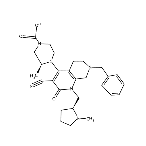 C[C@H]1CN(C(=O)O)CCN1c1c2c(n(C[C@@H]3CCCN3C)c(=O)c1C#N)CN(Cc1ccccc1)CC2